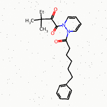 CCC(C)(C)C(=O)C(=O)N1C=CC=CN1C(=O)CCCCCc1ccccc1